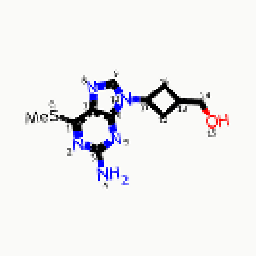 CSc1nc(N)nc2c1ncn2C1CC(CO)C1